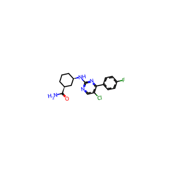 NC(=O)[C@H]1CCC[C@@H](Nc2ncc(Cl)c(-c3ccc(F)cc3)n2)C1